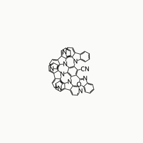 N#Cc1c(-c2nc3ccccc3o2)c(-n2c3ccccc3c3ccncc32)c(-n2c3ccccc3c3ccncc32)c(-n2c3ccccc3c3ccncc32)c1-n1c2ccccc2c2ccncc21